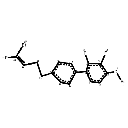 CCOc1ccc(-c2ccc(CC/C=C(/F)CC)cc2)c(F)c1F